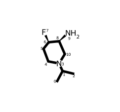 CC(C)N1CC[C@@H](F)[C@@H](N)C1